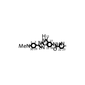 CNc1ccc(-c2cncc(N[C@@H](C)c3cccc(NC(=O)c4cccnc4)c3)n2)cc1